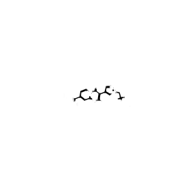 C[C@@H](O)c1ccn2c(=O)c(-c3cnn(CC(F)(F)C(F)(F)F)c3)c(C(F)(F)F)nc2c1